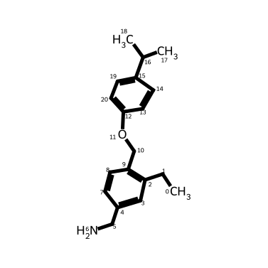 CCc1cc(CN)ccc1COc1ccc(C(C)C)cc1